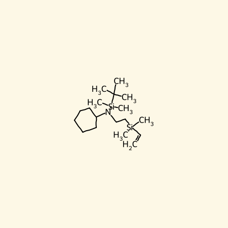 C=C[Si](C)(C)CCN(C1CCCCC1)[Si](C)(C)C(C)(C)C